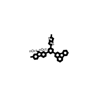 CCCCCCCCC1(CCCCCCCC)c2cc(C)ccc2-c2ccc(-c3cc(-c4cc5c6c(cccc6c4)-c4ccccc4-5)cc(-c4cc5sc(C)cc5s4)c3)cc21